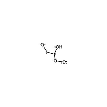 CCOC(O)C[O]